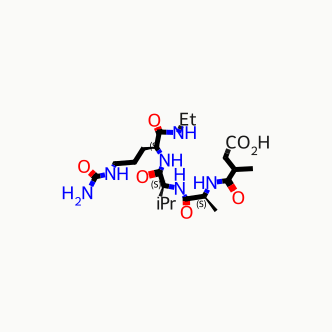 CCNC(=O)[C@H](CCCNC(N)=O)NC(=O)[C@@H](NC(=O)[C@H](C)NC(=O)C(C)CC(=O)O)C(C)C